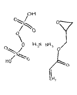 C=CC(=O)OCC1CO1.N.N.O=S(=O)(O)OOS(=O)(=O)O